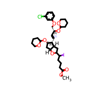 COC(=O)CCCC(I)C1C[C@@H]2[C@@H](/C=C/[C@H](COc3cccc(Cl)c3)OC3CCCCO3)[C@H](OC3CCCCO3)C[C@H]2O1